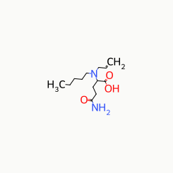 C=CCN(CCCCC)C(CCC(N)=O)C(=O)O